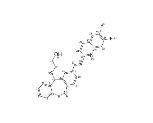 OCCSC1c2ccccc2COc2ccc(C=Cc3ccc4cc(F)c(F)cc4n3)cc21